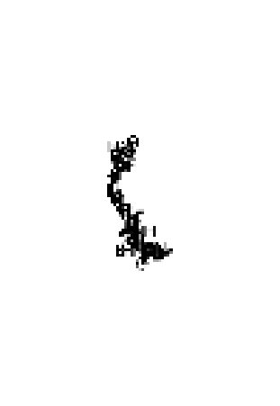 CCOc1cc(N2CCC(N3CCN(CC4CN(c5cc(F)c([C@H]6CCC(=O)NC6=O)c(F)c5)C4)CC3)CC2)c(CC)cc1Nc1ncc(Br)c(Nc2ccc3nc(CC)ccc3c2P(C)(C)=O)n1